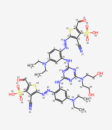 CCN(CC)c1ccc(/N=N/c2sc(C=O)c(S(=O)(=O)O)c2C#N)c(Nc2nc(Nc3cc(N(CC)CC)ccc3/N=N/c3sc(C=O)c(S(=O)(=O)O)c3C#N)nc(N(CCO)CCO)n2)c1